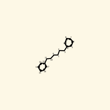 [CH](CCCc1ccccc1)CCc1ccccc1